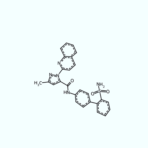 Cc1cc(C(=O)Nc2ccc(-c3ccccc3S(N)(=O)=O)cc2)n(-c2ccc3ccccc3n2)n1